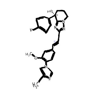 COc1cc(/C=C/c2nc3n(n2)CCC[C@]3(O)c2ccc(F)cc2)ccc1-n1cnc(C)c1